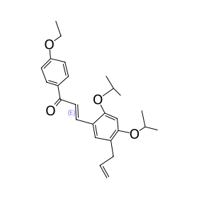 C=CCc1cc(/C=C/C(=O)c2ccc(OCC)cc2)c(OC(C)C)cc1OC(C)C